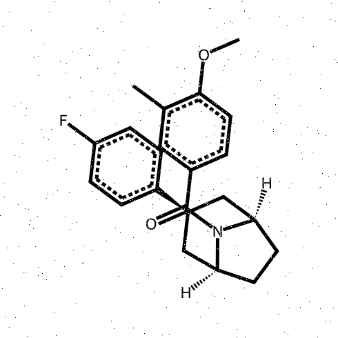 COc1ccc(C(=O)N2[C@@H]3CC[C@H]2C[C@@H](c2ccc(F)cc2)C3)cc1C